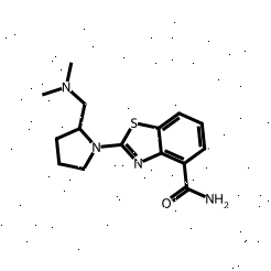 CN(C)CC1CCCN1c1nc2c(C(N)=O)[c]ccc2s1